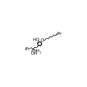 CC(C)CCCCCCCOc1ccc(CCC(N)(CO)CC(C)C)cc1O